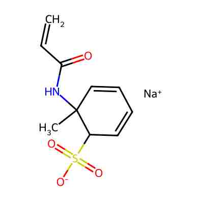 C=CC(=O)NC1(C)C=CC=CC1S(=O)(=O)[O-].[Na+]